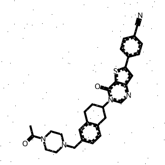 CC(=O)N1CCN(Cc2ccc3c(c2)CCC(n2cnc4cc(-c5ccc(C#N)cc5)sc4c2=O)C3)CC1